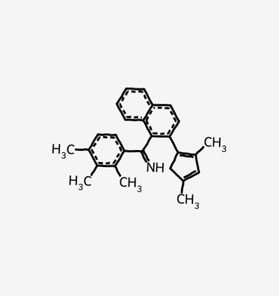 CC1=CC(C)=C(c2ccc3ccccc3c2C(=N)c2ccc(C)c(C)c2C)C1